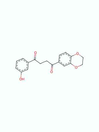 O=C(CCC(=O)c1ccc2c(c1)OCCO2)c1cccc(O)c1